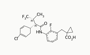 C[C@H]([C@H](C(=O)Nc1cccc(CC2(C(=O)O)CC2)c1F)C1C=CC(Cl)=CC1)C(F)(F)F